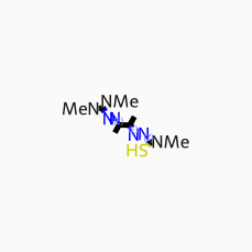 CNC(=N/N=C(C)/C(C)=N/N=C(\S)NC)NC